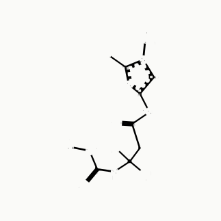 CCOC(=O)c1nc(NC(=O)CC(C)(C)NC(=O)OC(C)(C)C)cn1C